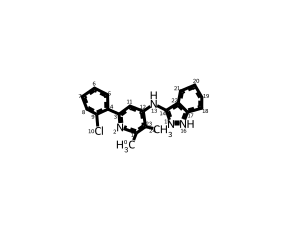 Cc1nc(-c2ccccc2Cl)cc(Nc2n[nH]c3ccccc23)c1C